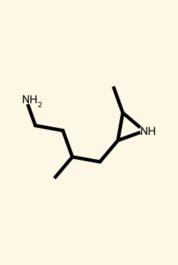 CC(CCN)CC1NC1C